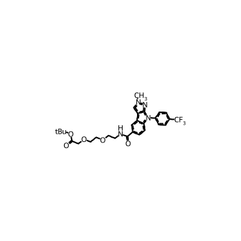 Cn1cc2c3cc(C(=O)NCCOCCOCC(=O)OC(C)(C)C)ccc3n(-c3ccc(C(F)(F)F)cc3)c2n1